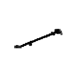 CCCCCCCCCCCCCCCCCC(=O)CCCCCCCCCCCCCCCCCC[P-]OCC[N+](C)(C)C